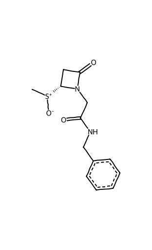 C[S+]([O-])[C@@H]1CC(=O)N1CC(=O)NCc1ccccc1